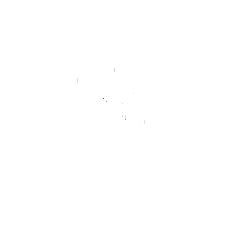 CN(C)n1c(=O)c2ccccc2n(C)c1=O